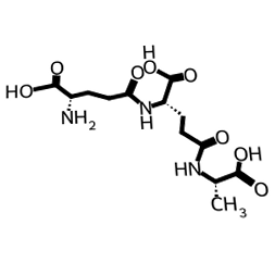 C[C@H](NC(=O)CC[C@H](NC(=O)CC[C@H](N)C(=O)O)C(=O)O)C(=O)O